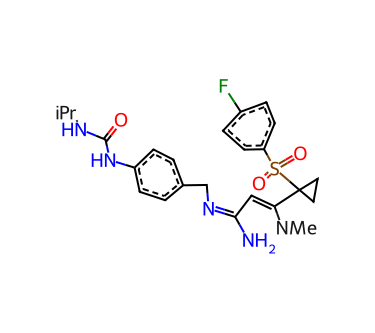 CN/C(=C\C(N)=N/Cc1ccc(NC(=O)NC(C)C)cc1)C1(S(=O)(=O)c2ccc(F)cc2)CC1